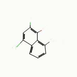 [O]c1c(Cl)cc(Cl)c2cccc(S(=O)(=O)O)c12